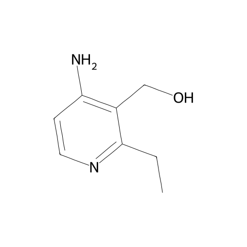 CCc1nccc(N)c1CO